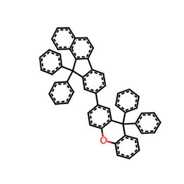 c1ccc(C2(c3ccccc3)c3ccccc3Oc3ccc(-c4ccc5c(c4)C(c4ccccc4)(c4ccccc4)c4c-5ccc5ccccc45)cc32)cc1